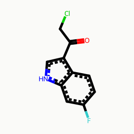 O=C(CCl)c1c[nH]c2cc(F)ccc12